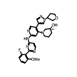 COc1cccc(F)c1-c1nccc(Nc2cc(N3CCC[C@H](O)C3)c(-c3cnn(C4CCOC4)c3)cn2)n1